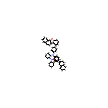 c1ccc(-n2c3ccccc3c3ccccc32)c(N(c2ccc(-c3ccc4ccccc4c3)cc2)c2ccc(-c3cccc4oc5c6ccccc6ccc5c34)cc2)c1